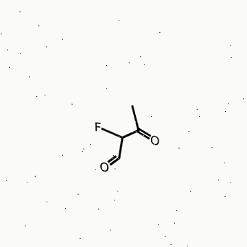 CC(=O)C(F)C=O